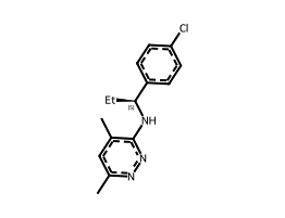 CC[C@H](Nc1nnc(C)cc1C)c1ccc(Cl)cc1